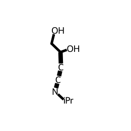 CC(C)N=C=C=C(O)CO